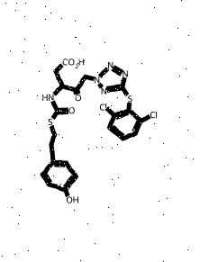 O=C(O)CC(NC(=O)SCCc1ccc(O)cc1)C(=O)Cn1nnc(Sc2c(Cl)cccc2Cl)n1